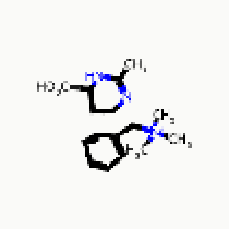 CC1=NCCC(C(=O)O)N1.C[N+](C)(C)Cc1ccccc1